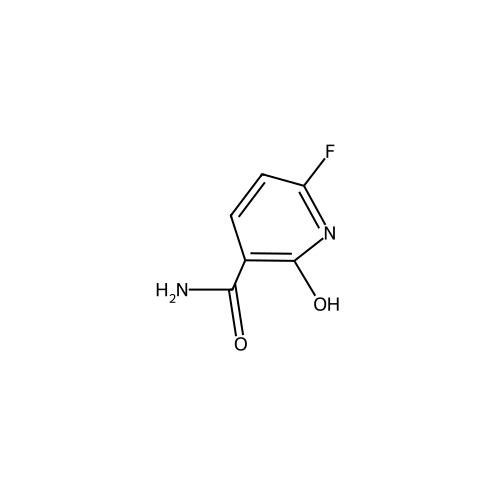 NC(=O)c1ccc(F)nc1O